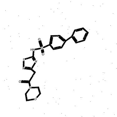 O=C(Cc1nsc(NS(=O)(=O)c2ccc(-c3ccccc3)cc2)n1)N1CCOCC1